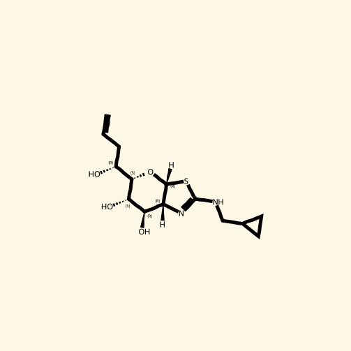 C=CC[C@@H](O)[C@@H]1O[C@@H]2SC(NCC3CC3)=N[C@@H]2[C@@H](O)[C@@H]1O